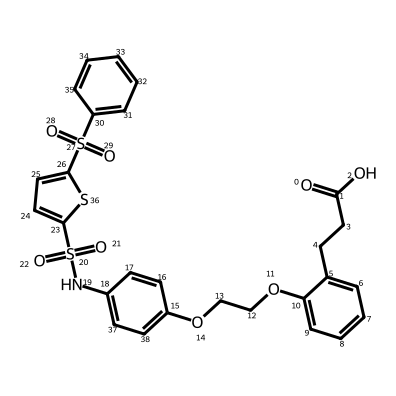 O=C(O)CCc1ccccc1OCCOc1ccc(NS(=O)(=O)c2ccc(S(=O)(=O)c3ccccc3)s2)cc1